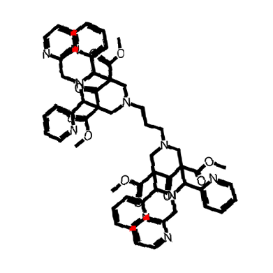 COC(=O)C12CN(CCCN3CC4(C(=O)OC)C(=O)C(C(=O)OC)(C3)C(c3ccccn3)N(Cc3ccccn3)C4c3ccccn3)CC(C(=O)OC)(C1=O)C(c1ccccn1)N(Cc1ccccn1)C2c1ccccn1